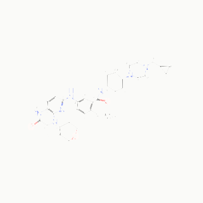 COc1ccc(Nc2ccc3c(n2)N(C2CCOCC2)[C@H](C)C(=O)N3C)cc1C(=O)N[C@H]1CC[C@H](N2CCN(CC3CC3)CC2)CC1